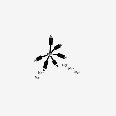 N#[C][Fe-3]([C]#N)([C]#N)([C]#N)([C]#N)[C]#N.[Na+].[Na+].[Na+].[Na+].[OH-]